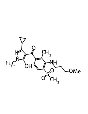 COCCCNc1c(S(C)(=O)=O)ccc(C(=O)c2c(C3CC3)nn(C)c2O)c1C